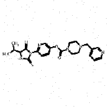 CC(C)C1NC(=S)N(c2ccc(OC(=O)N3CCN(Cc4cccnc4)CC3)cn2)C1=O